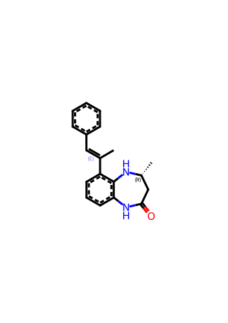 C/C(=C\c1ccccc1)c1cccc2c1N[C@H](C)CC(=O)N2